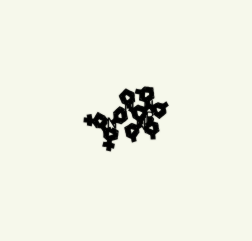 Cc1cccc(N2c3cc(C)ccc3B3c4ccc(C)cc4N(c4cccc(C)c4)c4cc(N(c5ccccc5)c5ccc(-n6c7ccc(C(C)(C)C)cc7c7cc(C(C)(C)C)ccc76)cc5)cc2c43)c1